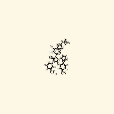 Cc1c(-c2ccnn2-c2ccc(C#N)cc2)n(C(=O)NC(C)c2nc(C[N+](C)(C)C)no2)c(=O)n1-c1cccc(C(F)(F)F)c1